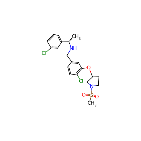 C[C@@H](NCc1ccc(Cl)c(OC2CCN(S(C)(=O)=O)C2)c1)c1cccc(Cl)c1